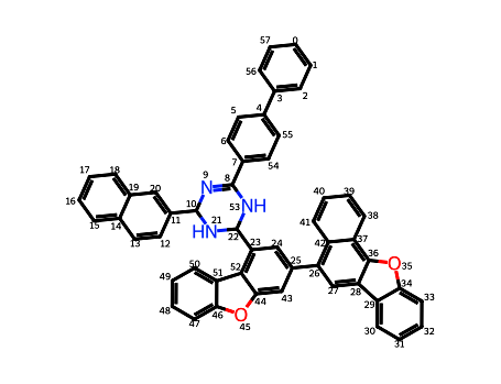 c1ccc(-c2ccc(C3=NC(c4ccc5ccccc5c4)NC(c4cc(-c5cc6c7ccccc7oc6c6ccccc56)cc5oc6ccccc6c45)N3)cc2)cc1